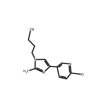 Cc1nc(-c2ccc(Cl)nc2)cn1CCCC#N